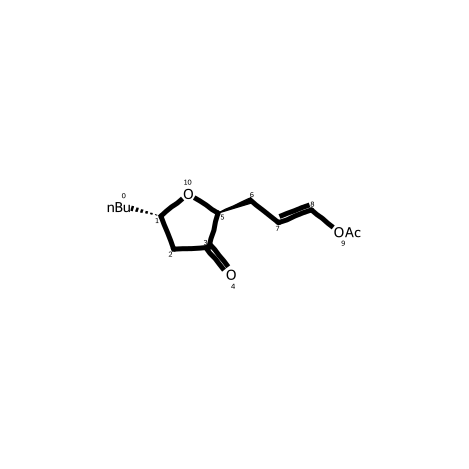 CCCC[C@H]1CC(=O)[C@H](C/C=C/OC(C)=O)O1